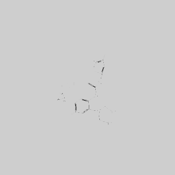 Cc1cc(NC(=O)Nc2cc([C@@H]3C[C@@H]3C(=O)O)c(F)cc2N(CC(C)C)CC(C)C)on1